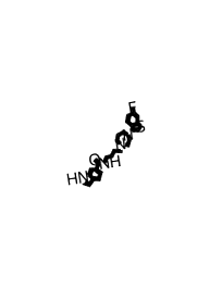 O=C(NCCCCN1CCCN(c2csc3cc(F)ccc23)CC1)c1ccc2cc[nH]c2c1